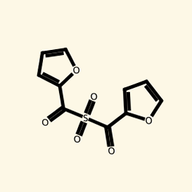 O=C(c1ccco1)S(=O)(=O)C(=O)c1ccco1